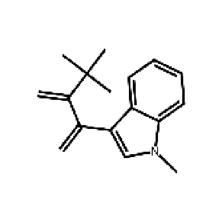 C=C(C(=C)C(C)(C)C)c1cn(C)c2ccccc12